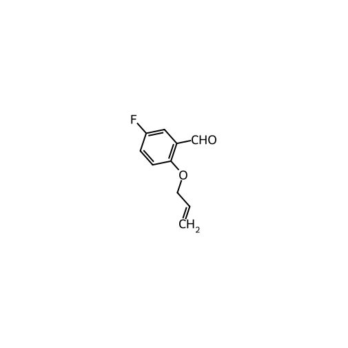 C=CCOc1ccc(F)cc1C=O